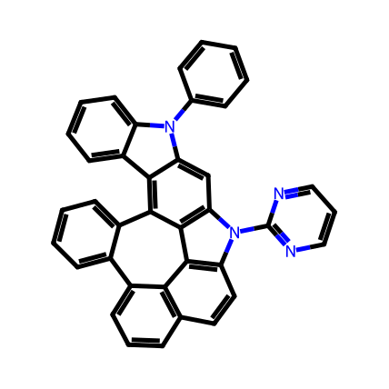 c1ccc(-n2c3ccccc3c3c4c5c6c7c(cccc7ccc6n(-c6ncccn6)c5cc32)-c2ccccc2-4)cc1